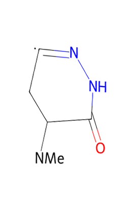 CNC1C[C]=NNC1=O